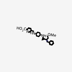 COCC/C(=C\c1ccccc1)C1CC1N[C@H]1CC[C@H](NCc2ccc(C(=O)O)nc2)CC1